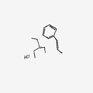 CC=Cc1ccccc1.CCN(CC)CC.Cl